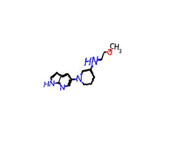 COCCNC1CCCN(c2cnc3[nH]ccc3c2)C1